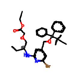 CCOC(=O)COC[C@H](CC)Nc1cc(CO[Si](c2ccccc2)(c2ccccc2)C(C)(C)C)cc(Br)n1